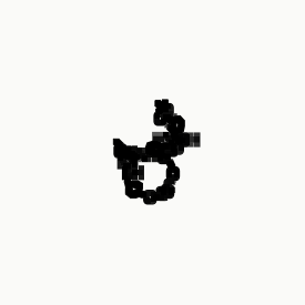 CCOc1nc2nc(n1)Nc1ccc(C(=O)NC(C(=O)O)C3CCCN(C(=O)OC(C)(C)C)C3)c(c1)OCCOCCOCCOc1ccc(cc1)CN2